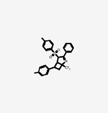 Cc1ccc(C2CC3(C(F)(F)F)N=C(c4ccccc4)C(S(=O)(=O)c4ccc(C)cc4)C23)cc1